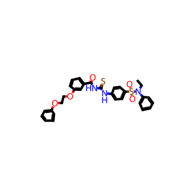 CCN(c1ccccc1)S(=O)(=O)c1ccc(NC(=S)NC(=O)c2cccc(OCCOc3ccccc3)c2)cc1